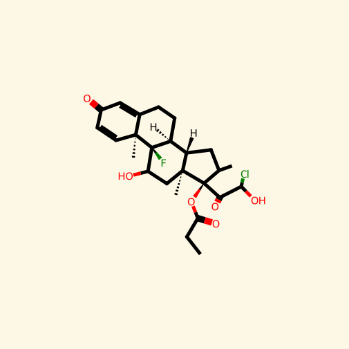 CCC(=O)O[C@]1(C(=O)C(O)Cl)C(C)C[C@H]2[C@@H]3CCC4=CC(=O)C=C[C@]4(C)[C@@]3(F)C(O)C[C@@]21C